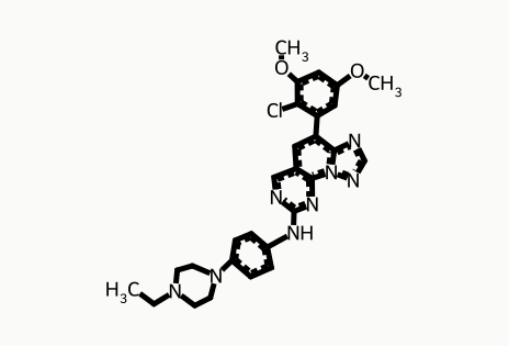 CCN1CCN(c2ccc(Nc3ncc4cc(-c5cc(OC)cc(OC)c5Cl)c5ncnn5c4n3)cc2)CC1